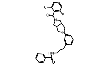 O=C(NCCCc1cccc(N2CC3CN(C(=O)c4c(F)cccc4Cl)CC3C2)c1)c1ccccc1